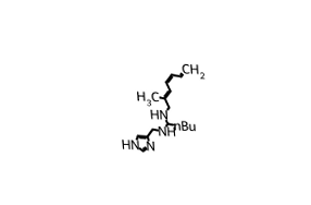 C=C/C=C\C=C(/C)CNC(CCCC)NCc1c[nH]cn1